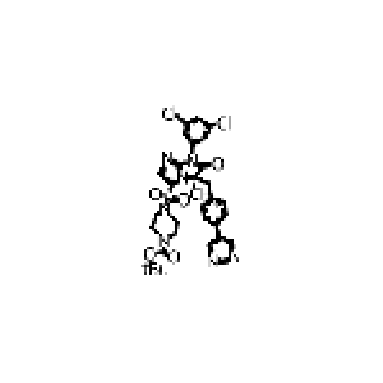 CC(C)(C)OC(=O)N1CCN(S(=O)(=O)c2cnc3n2[C@](C)(Cc2ccc(-c4cncnc4)cc2)C(=O)N3c2cc(Cl)cc(Cl)c2)CC1